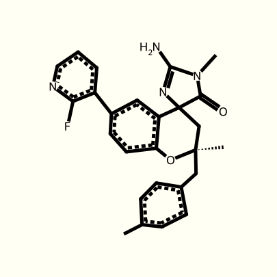 Cc1ccc(C[C@]2(C)CC3(N=C(N)N(C)C3=O)c3cc(-c4cccnc4F)ccc3O2)cc1